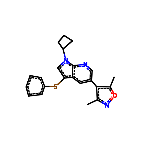 Cc1noc(C)c1-c1cnc2c(c1)c(Sc1ccccc1)cn2C1CCC1